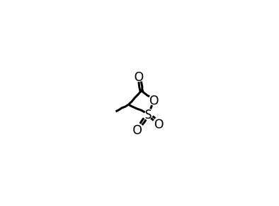 CC1C(=O)OS1(=O)=O